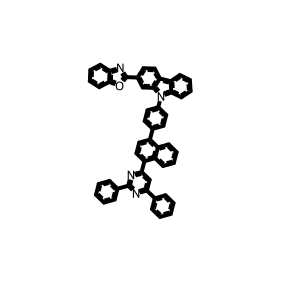 c1ccc(-c2cc(-c3ccc(-c4ccc(-n5c6ccccc6c6ccc(-c7nc8ccccc8o7)cc65)cc4)c4ccccc34)nc(-c3ccccc3)n2)cc1